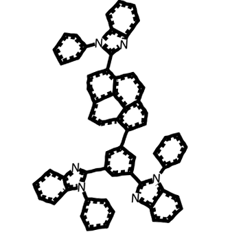 c1ccc(-n2c(-c3cc(-c4ccc5ccc6c(-c7nc8ccccc8n7-c7ccccc7)ccc7ccc4c5c76)cc(-c4nc5ccccc5n4-c4ccccc4)c3)nc3ccccc32)cc1